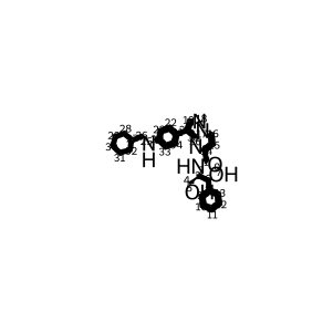 O=C(N[C@H](CO)[C@H](O)c1ccccc1)c1ccn2ncc(-c3ccc(NCC4CCCCC4)cc3)c2n1